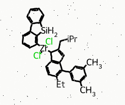 CCc1ccc2c(c1-c1cc(C)cc(C)c1)C=C(CC(C)C)[CH]2[Zr]([Cl])([Cl])[c]1cccc2c1[SiH2]c1ccccc1-2